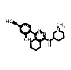 C#Cc1ccc(-c2nnc(NC3CCCN(C)C3)c3c2CCCC3)c(O)c1